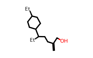 C=C(CO)CCC(CC)C1CCC(CC)CC1